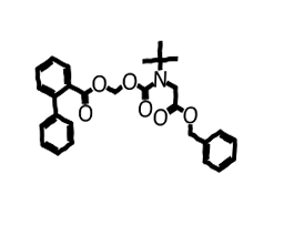 CC(C)(C)N(CC(=O)OCc1ccccc1)C(=O)OCOC(=O)c1ccccc1-c1ccccc1